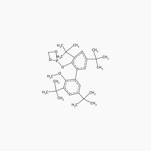 COc1c(-c2cc(C(C)(C)C)cc(C(C)(C)C)c2OP2OCO2)cc(C(C)(C)C)cc1C(C)(C)C